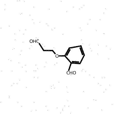 O=CCCOc1ccccc1C=O